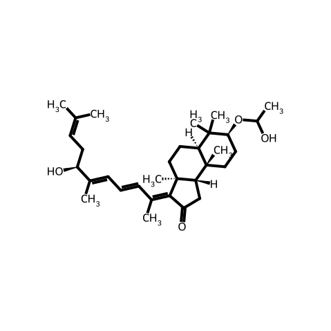 CC(C)=CC[C@H](O)/C(C)=C/C=C/C(C)=C1/C(=O)C[C@H]2[C@@]3(C)CC[C@H](OC(C)O)C(C)(C)[C@@H]3CC[C@]12C